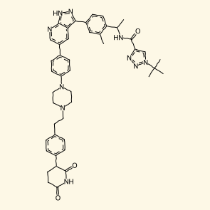 Cc1cc(-c2n[nH]c3ncc(-c4ccc(N5CCN(CCc6ccc(C7CCC(=O)NC7=O)cc6)CC5)cc4)cc23)ccc1C(C)NC(=O)c1cn(C(C)(C)C)nn1